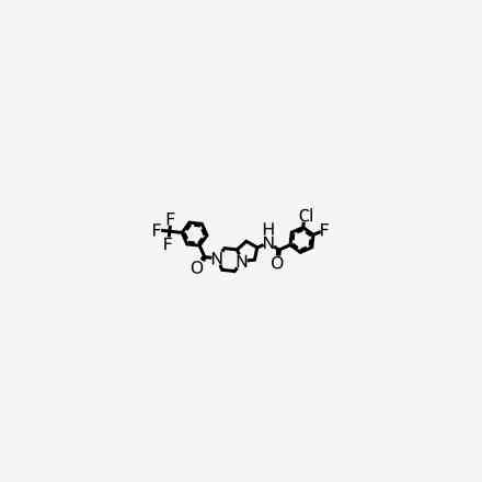 O=C(NC1CC2CN(C(=O)c3cccc(C(F)(F)F)c3)CCN2C1)c1ccc(F)c(Cl)c1